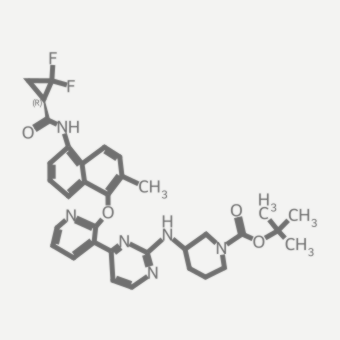 Cc1ccc2c(NC(=O)[C@H]3CC3(F)F)cccc2c1Oc1ncccc1-c1ccnc(NC2CCCN(C(=O)OC(C)(C)C)C2)n1